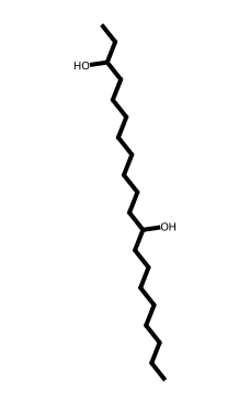 CCCCCCCCC(O)CCCCCCCCC(O)CC